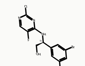 OC[C@@H](Nc1nc(Cl)ncc1F)c1cc(F)cc(Br)c1